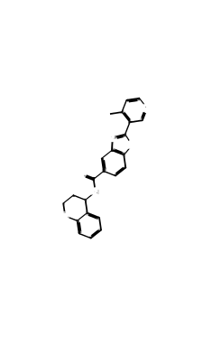 Cc1ccncc1-c1nc2cc(C(=O)NC3CCOc4ccccc43)ccc2s1